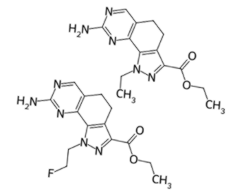 CCOC(=O)c1nn(CC)c2c1CCc1cnc(N)nc1-2.CCOC(=O)c1nn(CCF)c2c1CCc1cnc(N)nc1-2